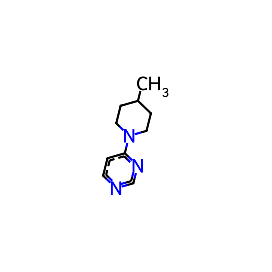 CC1CCN(c2ccncn2)CC1